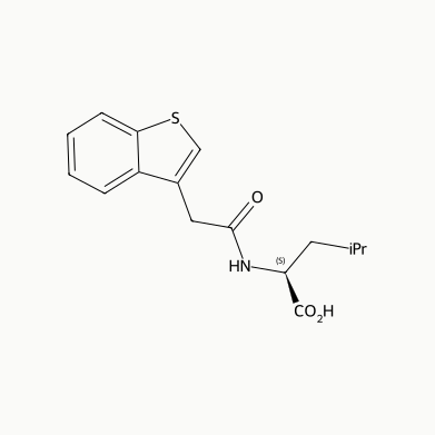 CC(C)C[C@H](NC(=O)Cc1csc2ccccc12)C(=O)O